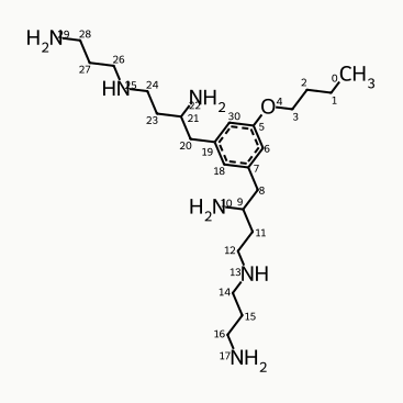 CCCCOc1cc(CC(N)CCNCCCN)cc(CC(N)CCNCCCN)c1